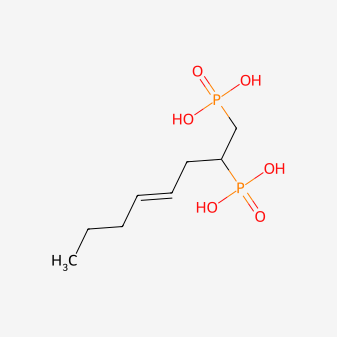 CCC/C=C/CC(CP(=O)(O)O)P(=O)(O)O